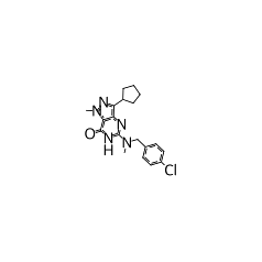 CN(Cc1ccc(Cl)cc1)c1nc2c(C3CCCC3)nn(C)c2c(=O)[nH]1